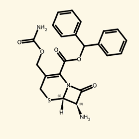 NC(=O)OCC1=C(C(=O)OC(c2ccccc2)c2ccccc2)N2C(=O)[C@@H](N)[C@@H]2SC1